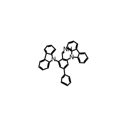 N=Cc1c(-n2c3ccccc3c3ccccc32)cc(-c2ccccc2)cc1-n1c2ccccc2c2ccccc21